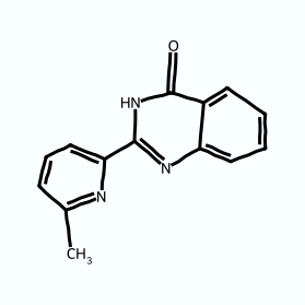 Cc1cccc(-c2nc3ccccc3c(=O)[nH]2)n1